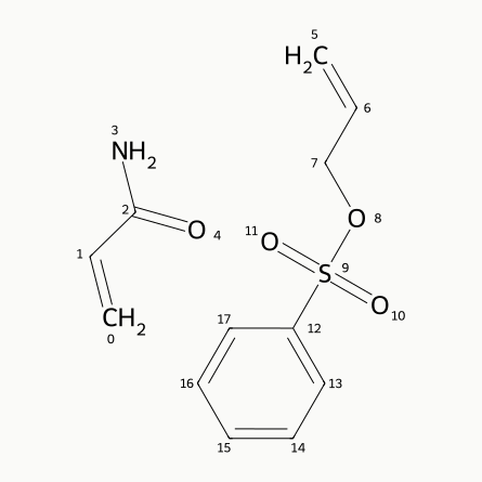 C=CC(N)=O.C=CCOS(=O)(=O)c1ccccc1